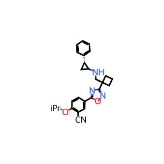 CC(C)Oc1ccc(-c2nc(C3(CNC4C[C@@H]4c4ccccc4)CCC3)no2)cc1C#N